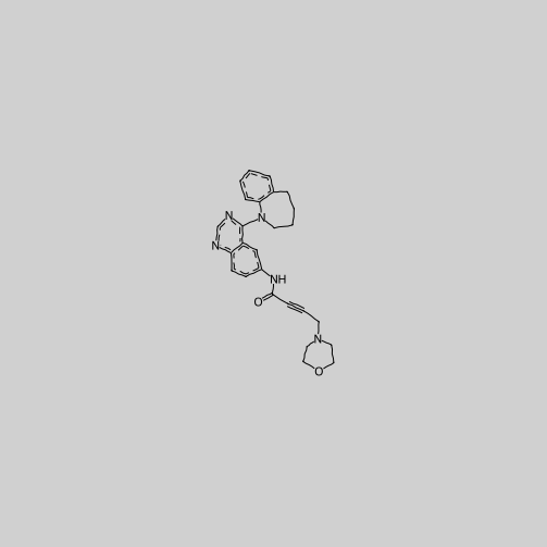 O=C(C#CCN1CCOCC1)Nc1ccc2ncnc(N3CCCCc4ccccc43)c2c1